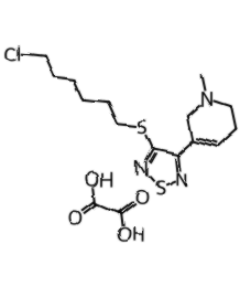 CN1CCC=C(c2nsnc2SCCCCCCCl)C1.O=C(O)C(=O)O